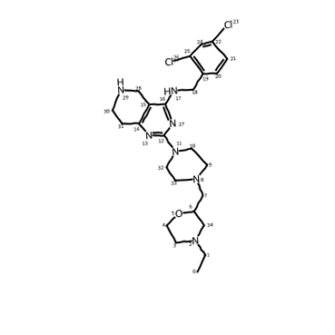 CCN1CCOC(CN2CCN(c3nc4c(c(NCc5ccc(Cl)cc5Cl)n3)CNCC4)CC2)C1